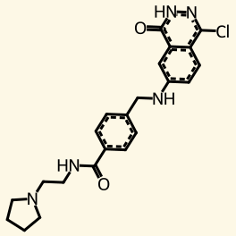 O=C(NCCN1CCCC1)c1ccc(CNc2ccc3c(Cl)n[nH]c(=O)c3c2)cc1